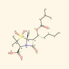 CCCC[C@@H](OC(=O)CC(C)C)[C@@H]1C(=O)N2[C@@H](C(=O)O)C(C)(C)S(=O)(=O)[C@H]12